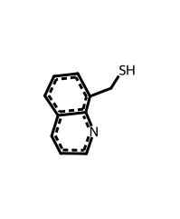 SCc1cccc2cccnc12